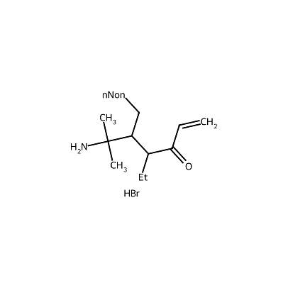 Br.C=CC(=O)C(CC)C(CCCCCCCCCC)C(C)(C)N